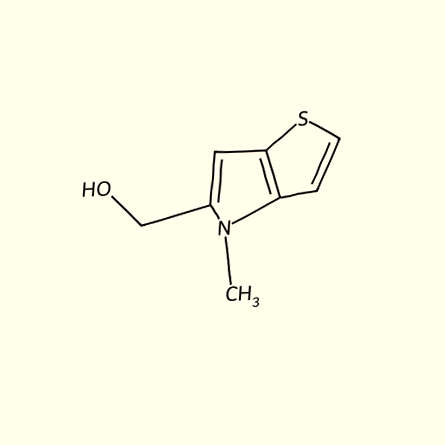 Cn1c(CO)cc2sccc21